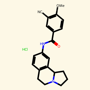 COc1ccc(C(=O)Nc2ccc3c(c2)C2CCCN2CC3)cc1C#N.Cl